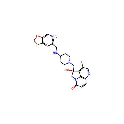 C=C(/C=C1/SCO/C1=C/N)CNC1CCN(C[C@@]2(O)Cn3c(=O)ccc4ncc(F)c2c43)CC1